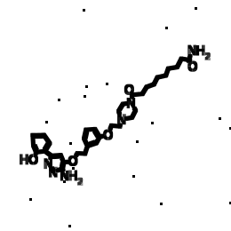 NC(=O)CCCCCCCCC(=O)N1CCN(CCOc2cccc(CCOc3cc(-c4ccccc4O)nnc3N)c2)CC1